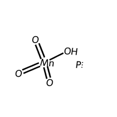 [O]=[Mn](=[O])(=[O])[OH].[P]